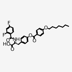 CCCCCCCOc1ccc(C(=O)Oc2ccc(C[C@H](NC(=O)c3ccc(F)cc3F)C(=O)O)cc2)cc1